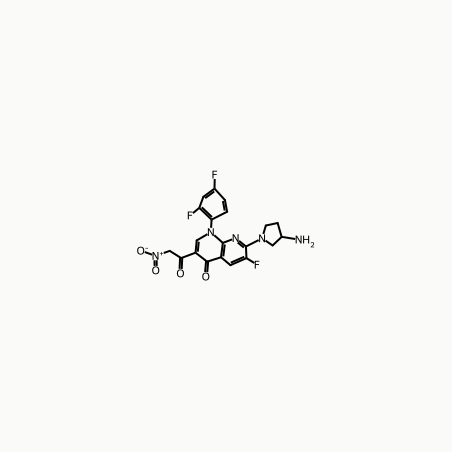 NC1CCN(c2nc3c(cc2F)c(=O)c(C(=O)C[N+](=O)[O-])cn3-c2ccc(F)cc2F)C1